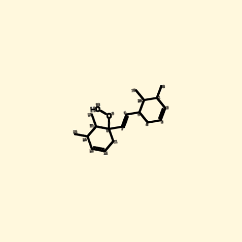 CC1C=CCC(C=CC2(OO)CC=CC(C)C2C)C1C